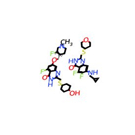 CN1CC[C@H](COc2cc(F)c3c(=O)[nH]c(CSC4CCC(O)CC4)nc3c2)[C@@H](F)C1.O=c1[nH]c(CSC2CCOCC2)nc2cc(NCC3CC3)c(F)c(F)c12